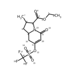 CCOC(=O)C1C(C)CC2CC(OS(=O)(=O)C(F)(F)F)=CC(=O)N21